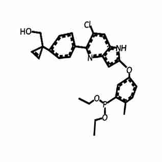 CCOP(OCC)c1cc(Oc2cc3nc(-c4ccc(C5(CO)C=C5)cc4)c(Cl)cc3[nH]2)ccc1C